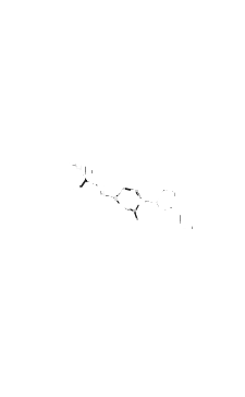 CNC(=O)ONc1ccn([C@H]2CC[C@@H](CO)O2)c(=O)n1